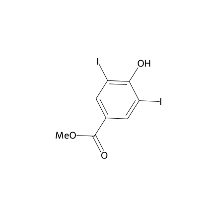 COC(=O)c1cc(I)c(O)c(I)c1